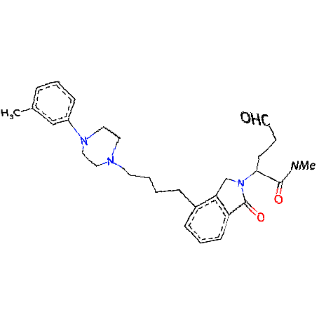 CNC(=O)C(CCC=O)N1Cc2c(CCCCN3CCN(c4cccc(C)c4)CC3)cccc2C1=O